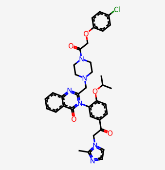 Cc1nccn1CC(=O)c1ccc(OC(C)C)c(-n2c(CN3CCN(C(=O)COc4ccc(Cl)cc4)CC3)nc3ccccc3c2=O)c1